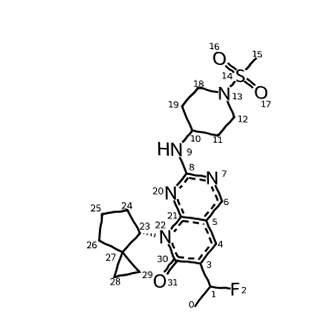 CC(F)c1cc2cnc(NC3CCN(S(C)(=O)=O)CC3)nc2n([C@H]2CCCC23CC3)c1=O